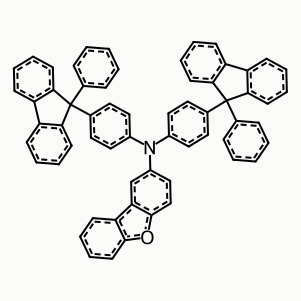 c1ccc(C2(c3ccc(N(c4ccc(C5(c6ccccc6)c6ccccc6-c6ccccc65)cc4)c4ccc5oc6ccccc6c5c4)cc3)c3ccccc3-c3ccccc32)cc1